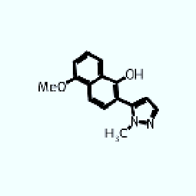 COc1cccc2c(O)c(-c3ccnn3C)ccc12